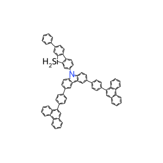 c1ccc(-c2ccc3c(c2)[SiH2]c2cc(-n4c5ccc(-c6ccc(-c7cc8ccccc8c8ccccc78)cc6)cc5c5cc(-c6ccc(-c7cc8ccccc8c8ccccc78)cc6)ccc54)ccc2-3)cc1